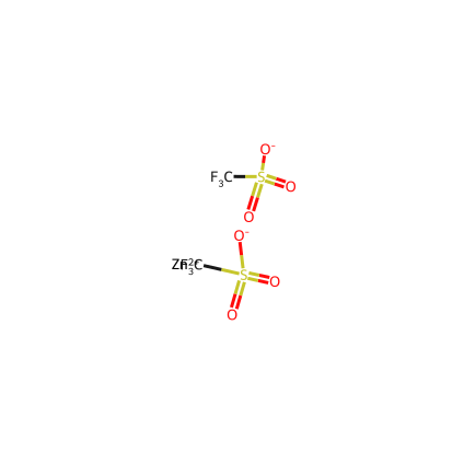 O=S(=O)([O-])C(F)(F)F.O=S(=O)([O-])C(F)(F)F.[Zn+2]